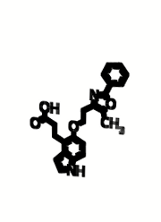 Cc1oc(-c2ccccc2)nc1CCOc1ccc2[nH]ccc2c1CCC(=O)O